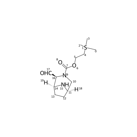 CS(C)(C)CCOC(=O)N1C[C@H]2CC[C@H](N2)[C@H]1C=O